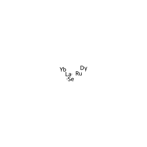 [Dy].[La].[Ru].[Se].[Yb]